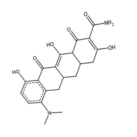 CN(C)c1ccc(O)c2c1CC1CC3CC(O)=C(C(N)=O)C(=O)C3C(O)=C1C2=O